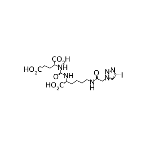 O=C(O)CCC(NC(=O)N[C@@H](CCCCNC(=O)Cn1cc(I)nn1)C(=O)O)C(=O)O